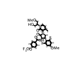 COCC(CO)n1ccc(C)c(N2C[C@@H](c3c(F)cc(OC)cc3F)[C@H](NC(=O)c3ccc(OC(F)(F)F)cc3)C2=O)c1=O